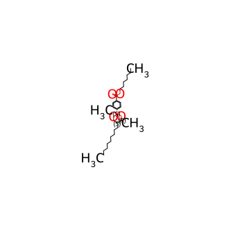 CCCCCCCCCC[C@H]1CO[C@H](c2ccc(C(=O)OCCCCCCC)cc2C)O[C@@H]1C